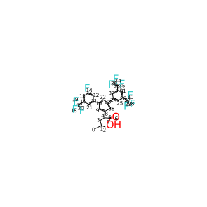 CC(C)CC(C(=O)O)c1cc(-c2cc(F)cc(C(F)(F)F)c2)cc(-c2cc(C(F)(F)F)cc(C(F)(F)F)c2)c1